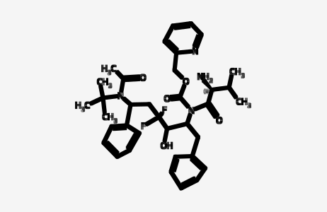 CC(=O)N(C(CC(F)(F)C(O)C(Cc1ccccc1)N(C(=O)OCc1ccccn1)C(=O)[C@@H](N)C(C)C)c1ccccc1)C(C)(C)C